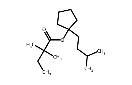 CCC(C)(C)C(=O)OC1(CCC(C)C)CCCC1